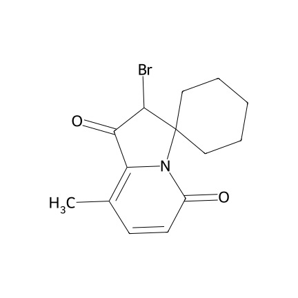 Cc1ccc(=O)n2c1C(=O)C(Br)C21CCCCC1